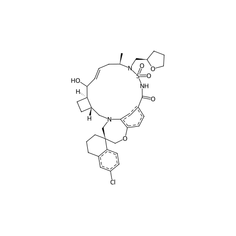 C[C@@H]1C/C=C/C(O)[C@@H]2CC[C@H]2CN2C[C@@]3(CCCc4cc(Cl)ccc43)COc3ccc(cc32)C(=O)NS(=O)(=O)N1C[C@H]1CCCO1